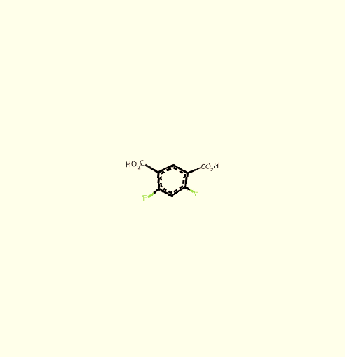 O=C(O)c1cc(C(=O)O)c(F)cc1F